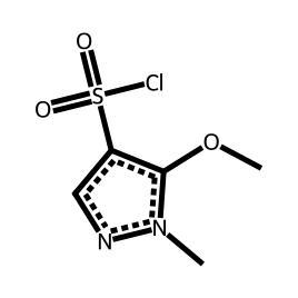 COc1c(S(=O)(=O)Cl)cnn1C